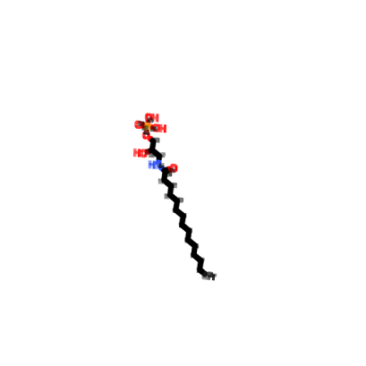 CC(C)CCCCCCCCCCCCCC(=O)NCC(O)COP(=O)(O)O